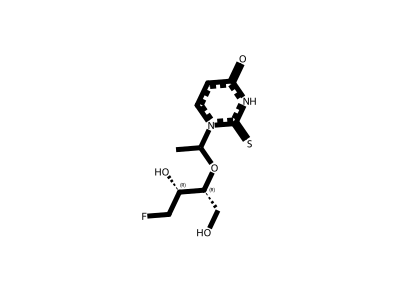 CC(O[C@H](CO)[C@@H](O)CF)n1ccc(=O)[nH]c1=S